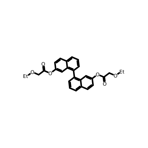 CCOCC(=O)Oc1ccc2cccc(-c3cccc4ccc(OC(=O)COCC)cc34)c2c1